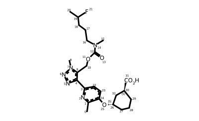 Cc1nc(-c2nnn(C)c2COC(=O)N(C)CCCC(C)F)ccc1O[C@H]1CCC[C@H](C(=O)O)C1